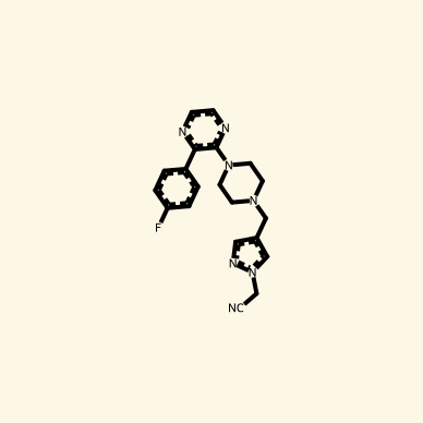 N#CCn1cc(CN2CCN(c3nccnc3-c3ccc(F)cc3)CC2)cn1